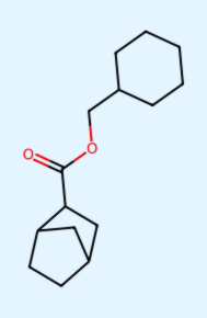 O=C(OCC1CCCCC1)C1CC2CCC1C2